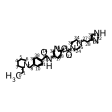 CCC1CCCCN1Cc1ccc(C(=O)Nc2ccc(OC(=O)N3CCN(CCc4c[nH]cn4)CC3)nc2)cc1